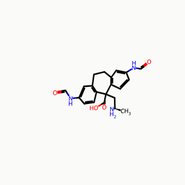 C[C@@H](N)CC1(C(=O)O)c2ccc(NC=O)cc2CCc2cc(NC=O)ccc21